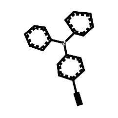 C#Cc1ccc(N(c2ccccc2)c2ccccc2)cc1